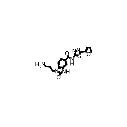 NCCCn1c(=O)[nH]c2cc(C(=O)Nc3nnc(C4=CCCO4)s3)ccc21